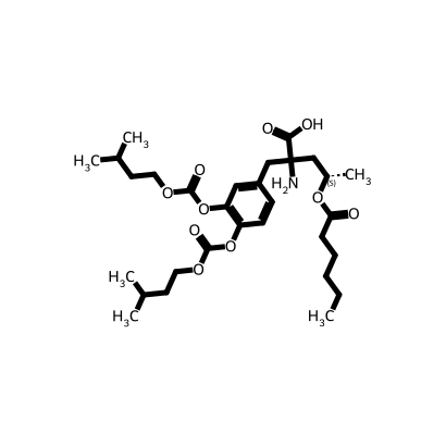 CCCCCC(=O)O[C@@H](C)CC(N)(Cc1ccc(OC(=O)OCCC(C)C)c(OC(=O)OCCC(C)C)c1)C(=O)O